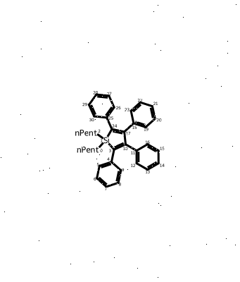 CCCCC[Si]1(CCCCC)C(c2ccccc2)=C(c2ccccc2)C(c2ccccc2)=C1c1ccccc1